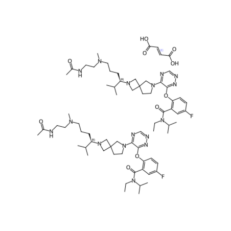 CCN(C(=O)c1cc(F)ccc1Oc1nncnc1N1CCC2(C1)CN([C@H](CCCN(C)CCNC(C)=O)C(C)C)C2)C(C)C.CCN(C(=O)c1cc(F)ccc1Oc1nncnc1N1CCC2(C1)CN([C@H](CCCN(C)CCNC(C)=O)C(C)C)C2)C(C)C.O=C(O)/C=C/C(=O)O